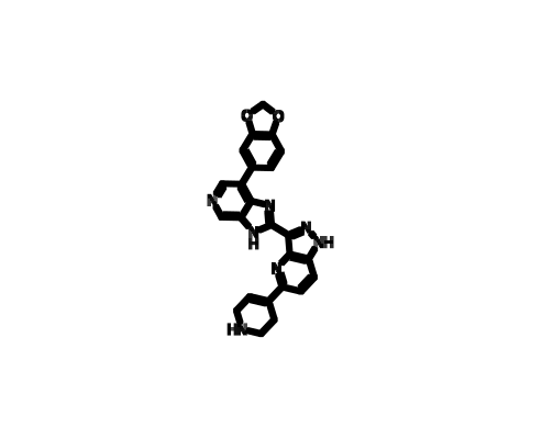 C1=C(c2ccc3[nH]nc(-c4nc5c(-c6ccc7c(c6)OCO7)cncc5[nH]4)c3n2)CCNC1